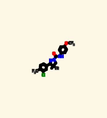 CCC1(C)CN(C(=O)Nc2ccc(OC(F)(F)F)cc2)N=C1c1ccc(C(F)(F)F)c(Cl)c1